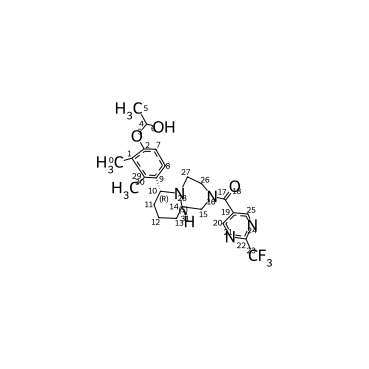 Cc1c(OC(C)O)ccc([C@H]2CCC[C@H]3CN(C(=O)c4cnc(C(F)(F)F)nc4)CCN32)c1C